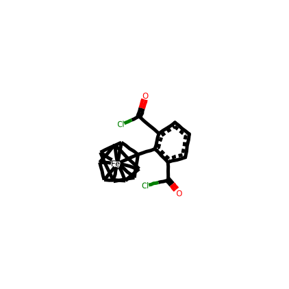 O=C(Cl)c1cccc(C(=O)Cl)c1[C]12[CH]3[CH]4[CH]5[CH]1[Fe]45321678[CH]2[CH]1[CH]6[CH]7[CH]28